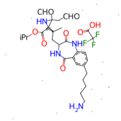 CC(C)OC(=O)[C@]1(C(C)CC2NC(=O)c3cc(CCCCCN)ccc3NC2=O)NC1(C=O)CC=O.O=C(O)C(F)(F)F